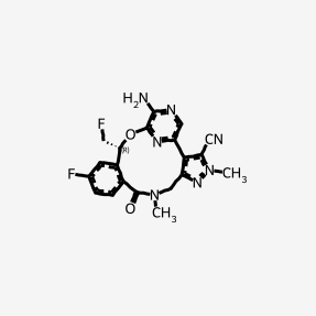 CN1Cc2nn(C)c(C#N)c2-c2cnc(N)c(n2)O[C@@H](CF)c2cc(F)ccc2C1=O